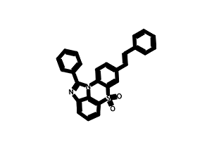 O=S1(=O)c2cc(/C=C/c3ccccc3)ccc2-n2c(-c3ccccc3)nc3cccc1c32